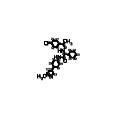 C[C@H](CN[C@H](C(=O)Nc1ccc(-c2cnn(C)c2)cc1)c1ccccc1)c1ccc(Cl)cc1